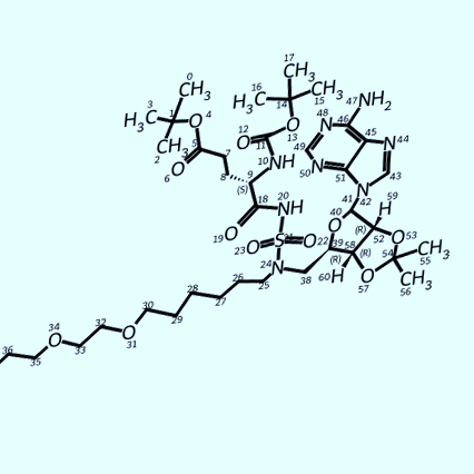 CC(C)(C)OC(=O)CC[C@H](NC(=O)OC(C)(C)C)C(=O)NS(=O)(=O)N(CCCCCCOCCOCCN)C[C@H]1OC(n2cnc3c(N)ncnc32)[C@@H]2OC(C)(C)O[C@H]12